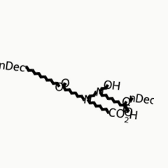 CCCCCCCCCCCCCCCCCCCCCOC(=O)CCCCCCCN(CCCCCCCC(=O)O)CCCN(CCO)CCCCCCCC(=C=O)OCCCCCCCCCCC